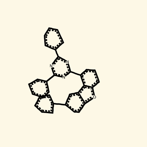 c1ccc(-c2ccc3oc4cccc(-c5nc(-c6ccccc6)nc(-c6ccccc6)n5)c4c3c2)cc1